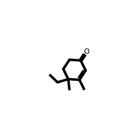 CCC1(C)CCC(=O)C=C1C